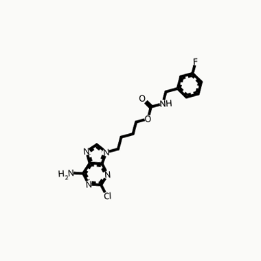 Nc1nc(Cl)nc2c1ncn2CCCCOC(=O)NCc1cccc(F)c1